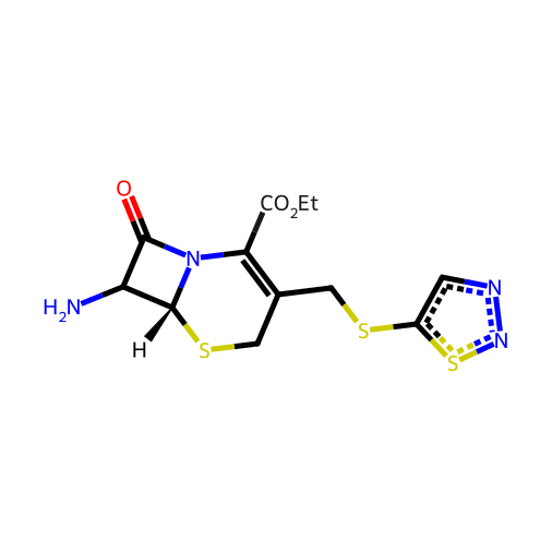 CCOC(=O)C1=C(CSc2cnns2)CS[C@@H]2C(N)C(=O)N12